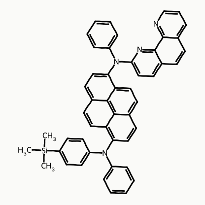 C[Si](C)(C)c1ccc(N(c2ccccc2)c2ccc3ccc4c(N(c5ccccc5)c5ccc6ccc7cccnc7c6n5)ccc5ccc2c3c54)cc1